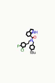 CC(C)(C)c1ccc(CN(CCc2ccc(F)c(Cl)c2)C(=O)c2cccc3cc[nH]c23)cc1